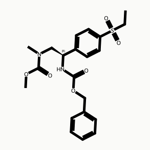 CCS(=O)(=O)c1ccc([C@H](CN(C)C(=O)OC)NC(=O)OCc2ccccc2)cc1